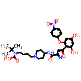 CC(C)(C)N(CCCCN1CCC(NC(=O)c2cc(-c3c(O)cc(O)cc3Oc3ccc([N+](=O)[O-])cc3)on2)CC1)C(=O)O